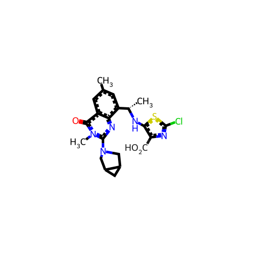 Cc1cc([C@H](C)Nc2sc(Cl)nc2C(=O)O)c2nc(N3CC4CC4C3)n(C)c(=O)c2c1